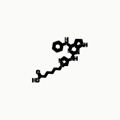 O=C(O)CCCCCn1cc(Nc2nc(Nc3ccccc3)c3cc[nH]c3n2)cn1